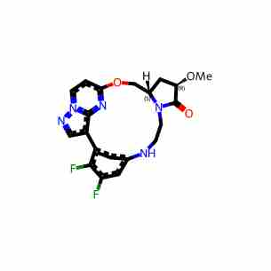 CO[C@@H]1C[C@H]2COc3ccn4ncc(c4n3)-c3cc(cc(F)c3F)NCCN2C1=O